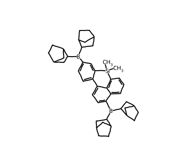 C[Si]1(C)c2cc(B(C3CC4CCC3C4)C3CC4CCC3C4)ccc2-c2ccc(B(C3CC4CCC3C4)C3CC4CCC3C4)c3cccc1c23